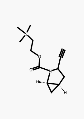 C#CC1C[C@H]2C[C@H]2N1C(=O)OCCS(C)(C)C